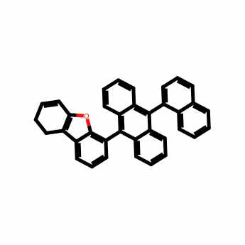 C1=Cc2oc3c(-c4c5ccccc5c(-c5cccc6ccccc56)c5ccccc45)cccc3c2CC1